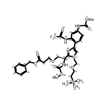 COC(=O)Nc1ccc(-c2cn(COCC[Si](C)(C)C)c([C@H](COCCC(=O)OCc3ccccc3)NC(=O)OC(C)(C)C)n2)c(NC(=O)C(F)(F)F)c1